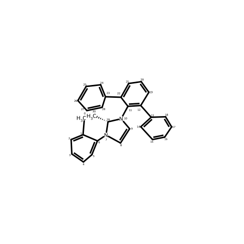 Cc1ccccc1N1C=CN(c2c(-c3ccccc3)cccc2-c2ccccc2)[C@H]1C